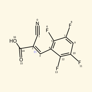 N#C/C(=C\c1c(F)c(F)cc(F)c1F)C(=O)O